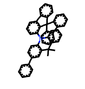 CC1(C)c2ccccc2N(c2cccc3c2C2(c4ccccc4-c4ccccc42)c2ccccc2-3)c2ccc(-c3ccccc3)cc21